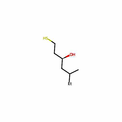 CCC(C)C[C@H](O)CCS